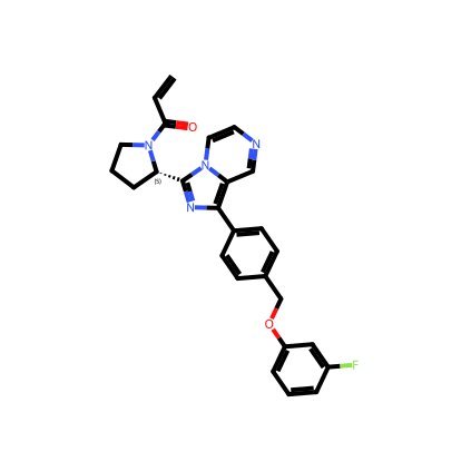 C=CC(=O)N1CCC[C@H]1c1nc(-c2ccc(COc3cccc(F)c3)cc2)c2cnccn12